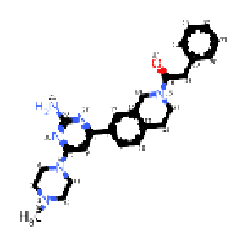 CN1CCN(c2cc(-c3ccc4c(c3)CN(C(=O)Cc3ccccc3)CC4)nc(N)n2)CC1